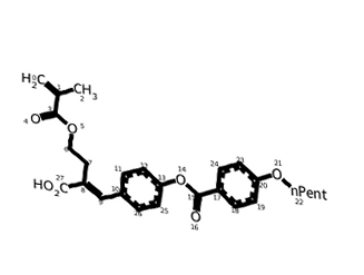 C=C(C)C(=O)OCCC(=Cc1ccc(OC(=O)c2ccc(OCCCCC)cc2)cc1)C(=O)O